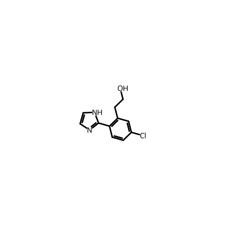 OCCc1cc(Cl)ccc1-c1ncc[nH]1